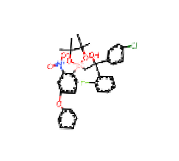 CC1(C)O[B-](CC(O)(c2ccc(Cl)cc2)c2ccccc2F)(c2ccc(Oc3ccccc3)cc2[N+](=O)[O-])OC1(C)C